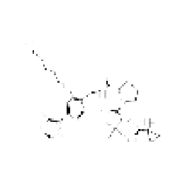 Cc1ncsc1-c1ccc(CNC(=O)[C@@H]2CCCN2C(=O)[C@@H](NC(=O)C2(F)CC2)C(C)(C)C)c(OCCCCC=O)c1